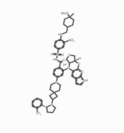 COC1(C)CCC(CNc2ccc(S(=O)(=O)NC(=O)c3ccc(N4CCC5(CC4)CC(N4CCC[C@H]4c4ccccc4C(F)(F)F)C5)cc3N3c4cc5cc[nH]c5nc4O[C@H]4COC[C@@H]43)cc2[N+](=O)[O-])CC1